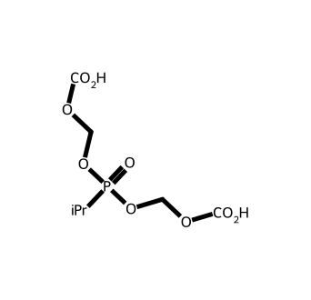 CC(C)P(=O)(OCOC(=O)O)OCOC(=O)O